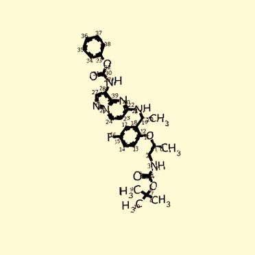 C[C@@H](CNC(=O)OC(C)(C)C)Oc1ccc(F)cc1[C@@H](C)Nc1ccn2ncc(NC(=O)Oc3ccccc3)c2n1